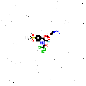 CS(=O)(=O)c1ccc([C@@H](OC(=O)OCCN)[C@@H](CF)NC(=O)C(Cl)Cl)cc1.Cl